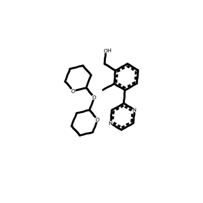 C1CCC(OC2CCCCO2)OC1.Cc1c(CO)cccc1-c1cnccn1